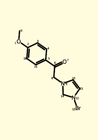 COc1ccc(C(=O)CN2C=CN(Br)C2)cc1